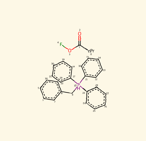 CCCC(=O)OF.c1ccc(C[PH](c2ccccc2)(c2ccccc2)c2ccccc2)cc1